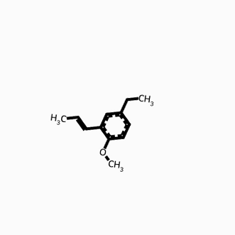 CC=Cc1cc(CC)ccc1OC